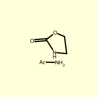 CC(N)=O.O=C1NCCO1